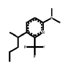 CCCC(C)c1ccc(N(C)C)nc1C(F)(F)F